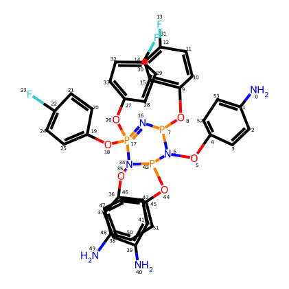 Nc1ccc(ON2P(Oc3ccc(F)cc3)N=P(Oc3ccc(F)cc3)(Oc3ccc(F)cc3)N(Oc3ccc(N)cc3)P2Oc2ccc(N)cc2)cc1